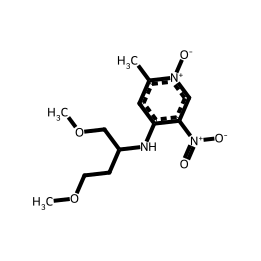 COCCC(COC)Nc1cc(C)[n+]([O-])cc1[N+](=O)[O-]